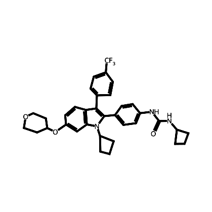 O=C(Nc1ccc(-c2c(-c3ccc(C(F)(F)F)cc3)c3ccc(OC4CCOCC4)cc3n2C2CCC2)cc1)NC1CCC1